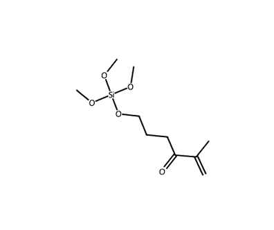 C=C(C)C(=O)CCCO[Si](OC)(OC)OC